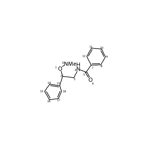 CNOC(CNC(=O)c1ccccc1)c1ccccc1